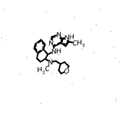 Cc1cc2c(NC3c4ccccc4CCC3N(C)CC3CCOCC3)ncnc2[nH]1